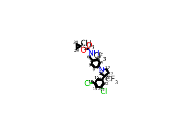 CC1(OC(=O)NCc2ccc(N3CCC(c4cc(Cl)cc(Cl)c4)(C(F)(F)F)C3)cc2C(F)(F)F)CC1